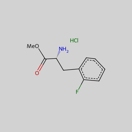 COC(=O)[C@H](N)Cc1ccccc1F.Cl